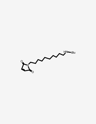 CC(C)(C)NCCCCCCCCCCN1C(=O)C=CC1=O